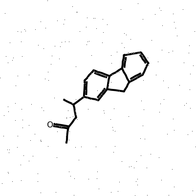 CC(=O)CC(C)c1ccc2c(c1)Cc1ccccc1-2